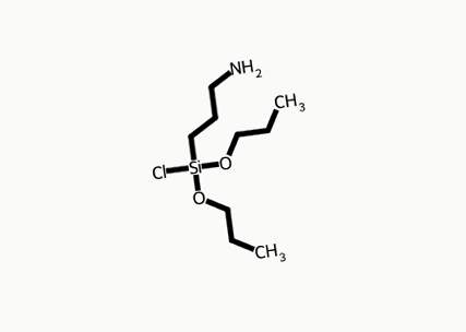 CCCO[Si](Cl)(CCCN)OCCC